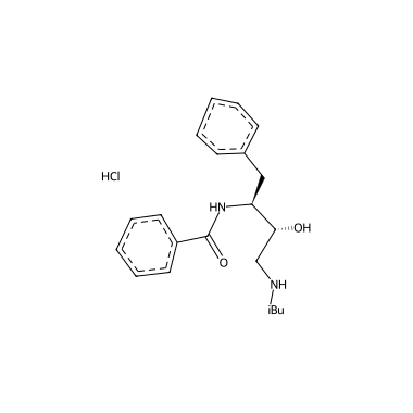 CCC(C)NC[C@@H](O)[C@H](Cc1ccccc1)NC(=O)c1ccccc1.Cl